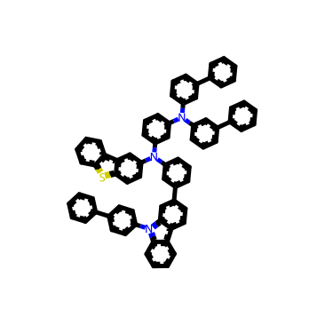 c1ccc(-c2ccc(-n3c4ccccc4c4ccc(-c5cccc(N(c6cccc(N(c7cccc(-c8ccccc8)c7)c7cccc(-c8ccccc8)c7)c6)c6ccc7sc8ccccc8c7c6)c5)cc43)cc2)cc1